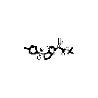 Cc1ccc(S(=O)(=O)N2CCc3nc(N(N)C(=O)OC(C)(C)C)cnc32)cc1